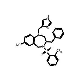 N#Cc1ccc2c(c1)CN(S(=O)(=O)c1ccccc1C(F)(F)F)C(Cc1ccccc1)CN2Cc1c[nH]cn1